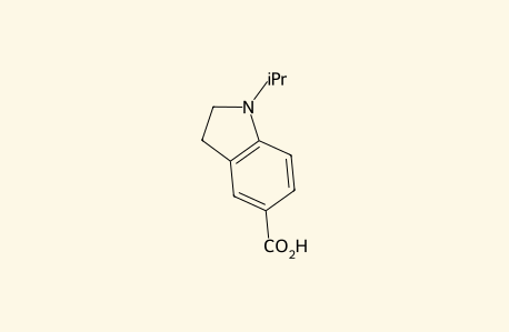 CC(C)N1CCc2cc(C(=O)O)ccc21